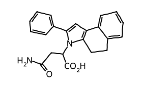 NC(=O)CC(C(=O)O)n1c(-c2ccccc2)cc2c1CCc1ccccc1-2